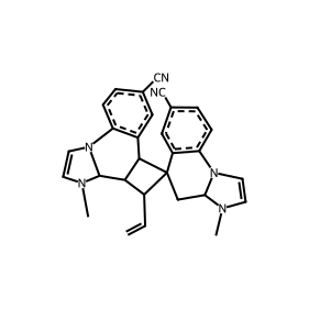 C=CC1C2C3N(C)C=CN3c3ccc(C#N)cc3C2C12CC1N(C)C=CN1c1ccc(C#N)cc12